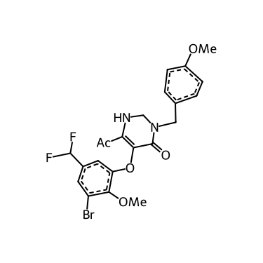 COc1ccc(CN2CNC(C(C)=O)=C(Oc3cc(C(F)F)cc(Br)c3OC)C2=O)cc1